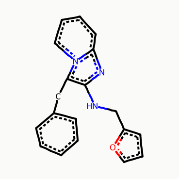 c1ccc(Cc2c(NCc3ccco3)nc3ccccn23)cc1